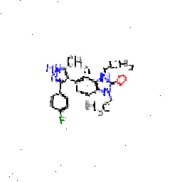 CCn1c(=O)n(CC)c2cc(-c3c(-c4ccc(F)cc4)n[nH]c3C)ccc21